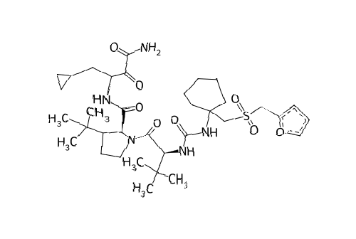 CC(C)(C)C1CCN(C(=O)[C@@H](NC(=O)NC2(CS(=O)(=O)Cc3ccco3)CCCCC2)C(C)(C)C)[C@@H]1C(=O)NC(CC1CC1)C(=O)C(N)=O